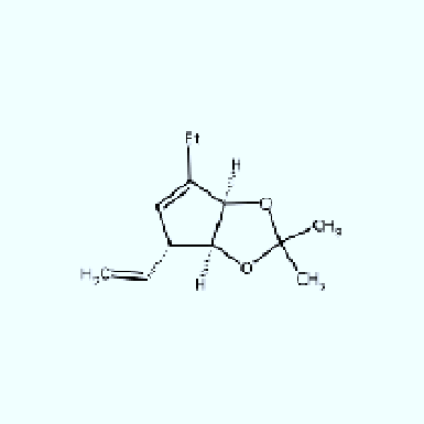 C=C[C@@H]1C=C(CC)[C@H]2OC(C)(C)O[C@@H]12